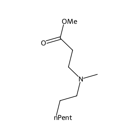 CCCCCCCN(C)CCC(=O)OC